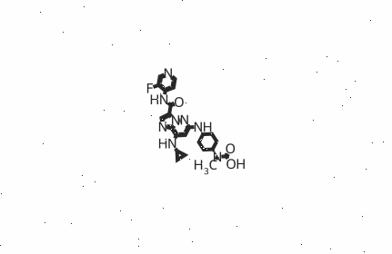 CN(C(=O)O)[C@H]1CC[C@H](Nc2cc(NC3CC3)c3ncc(C(=O)Nc4ccncc4F)n3n2)CC1